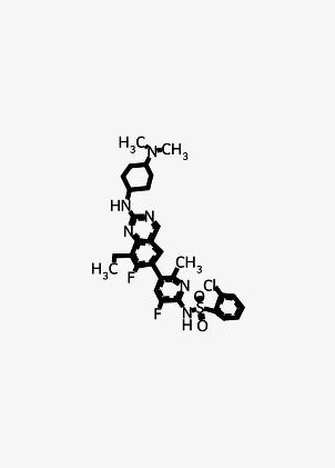 CCc1c(F)c(-c2cc(F)c(NS(=O)(=O)c3ccccc3Cl)nc2C)cc2cnc(NC3CCC(N(C)C)CC3)nc12